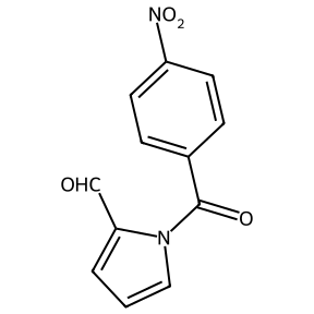 O=Cc1cccn1C(=O)c1ccc([N+](=O)[O-])cc1